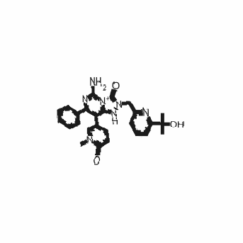 Cn1cc(-c2c(-c3ccccc3)nc(N)[n+]3c(=O)n(Cc4cccc(C(C)(C)O)n4)[nH]c23)ccc1=O